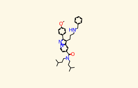 COc1ccc(-c2nn3ccc(C(=O)N(CCC(C)C)CCC(C)C)cc3c2CCCNCc2ccccc2)cc1